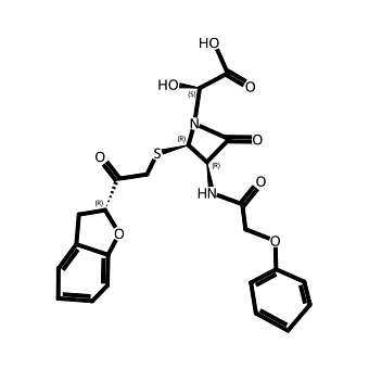 O=C(COc1ccccc1)N[C@@H]1C(=O)N([C@@H](O)C(=O)O)[C@@H]1SCC(=O)[C@H]1Cc2ccccc2O1